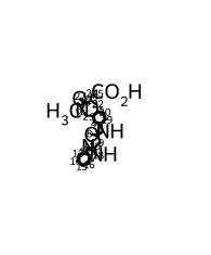 CN1Cc2cc(NC(=O)Cc3nc4ccccc4[nH]3)ccc2CC(CC(=O)O)C1=O